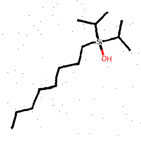 CCCCCCCC[Si](O)(C(C)C)C(C)C